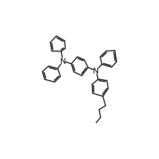 CCCCc1ccc(N(c2ccccc2)c2ccc(N(c3ccccc3)c3ccccc3)cc2)cc1